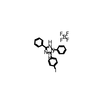 F[B-](F)(F)F.Ic1ccc([NH+]2N=C(c3ccccc3)NN2c2ccccc2)cc1